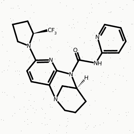 O=C(Nc1ccccn1)N1c2nc(N3CCC[C@H]3C(F)(F)F)ccc2N2CCC[C@H]1C2